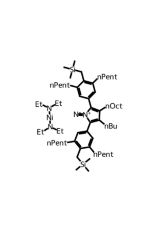 CCCCCCCCC1=C(c2cc(CCCCC)c(C[Si](C)(C)C)c(CCCCC)c2)[N+](=[N-])C(c2cc(CCCCC)c(C[Si](C)(C)C)c(CCCCC)c2)=C1CCCC.CC[N](CC)[Ni][N](CC)CC